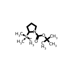 CC(C)(C)OC(=O)N1CCCC1[Si](C)(C)C